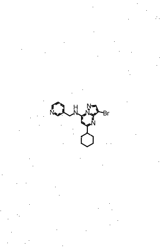 Brc1cnn2c(NCc3cccnc3)cc(C3CCCCC3)nc12